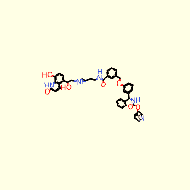 O=C(N[C@@H](c1ccccc1)c1cccc(OCc2cccc(C(=O)NCCCCNCC(O)c3ccc(O)c4[nH]c(=O)ccc34)c2)c1)OC1CN2CCC1CC2